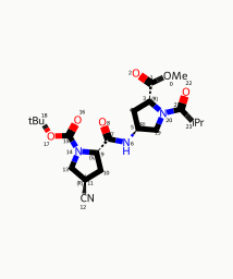 COC(=O)[C@H]1C[C@@H](NC(=O)[C@@H]2C[C@@H](C#N)CN2C(=O)OC(C)(C)C)CN1C(=O)C(C)C